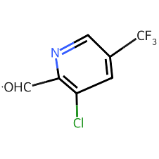 O=[C]c1ncc(C(F)(F)F)cc1Cl